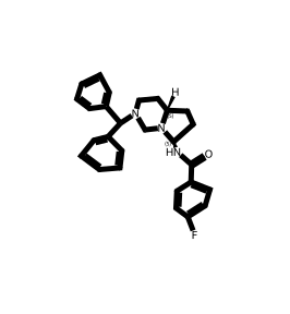 O=C(N[C@@H]1CC[C@H]2CCN(C(c3ccccc3)c3ccccc3)CN21)c1ccc(F)cc1